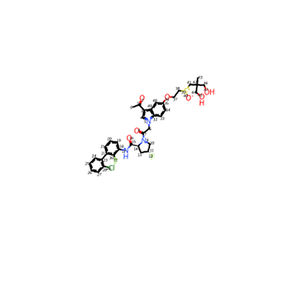 CC(=O)c1cn(CC(=O)N2C[C@H](F)C[C@H]2C(=O)Nc2cccc(-c3ccccc3Cl)c2F)c2ccc(OCC[S+]([O-])CC(C)(CO)CO)cc12